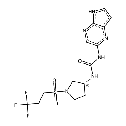 O=C(Nc1cnc2[nH]ccc2n1)N[C@@H]1CCN(S(=O)(=O)CCC(F)(F)F)C1